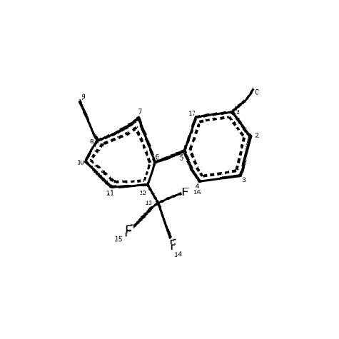 Cc1cccc(-c2cc(C)ccc2C(F)(F)F)c1